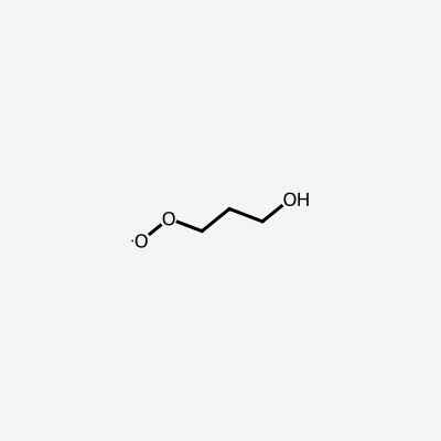 [O]OCCCO